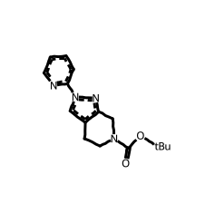 CC(C)(C)OC(=O)N1CCc2cn(-c3ccccn3)nc2C1